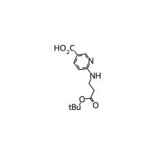 CC(C)(C)OC(=O)CCNc1ccc(C(=O)O)cn1